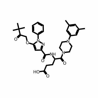 Cc1cc(C)cc(N2CCN(C(=O)C(CCC(=O)O)NC(=O)c3cc(OCC(=O)C(C)(C)C)n(-c4ccccc4)n3)CC2)c1